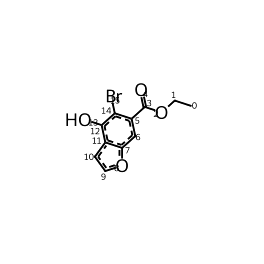 CCOC(=O)c1cc2occc2c(O)c1Br